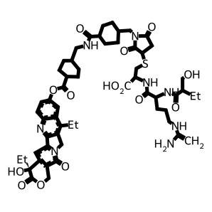 C=C(N)NCCCC(NC(=O)C(CC)CO)C(=O)NC(CSC1CC(=O)N(CC2CCC(C(=O)NCC3CCC(C(=O)Oc4ccc5nc6c(c(CC)c5c4)Cn4c-6cc5c(c4=O)COC(=O)[C@]5(O)CC)CC3)CC2)C1=O)C(=O)O